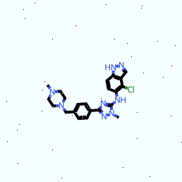 CN1CCN(Cc2ccc(-c3nc(Nc4ccc5[nH]ncc5c4Cl)n(C)n3)cc2)CC1